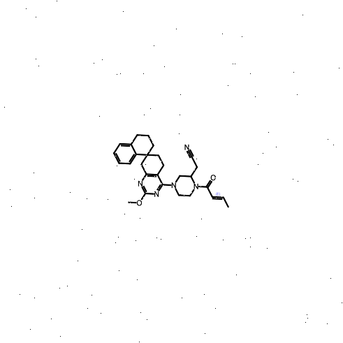 C/C=C/C(=O)N1CCN(c2nc(OC)nc3c2CCC2(CCCc4ccccc42)C3)CC1CC#N